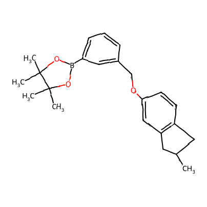 CC1Cc2ccc(OCc3cccc(B4OC(C)(C)C(C)(C)O4)c3)cc2C1